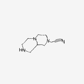 N#CN1CCN2CCNCC2C1